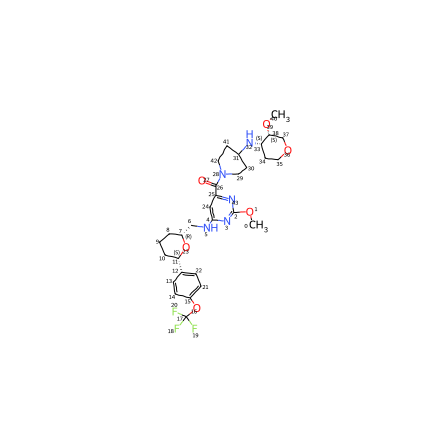 COc1nc(NC[C@H]2CCC[C@@H](c3ccc(OC(F)(F)F)cc3)O2)cc(C(=O)N2CCC(N[C@H]3CCOC[C@H]3OC)CC2)n1